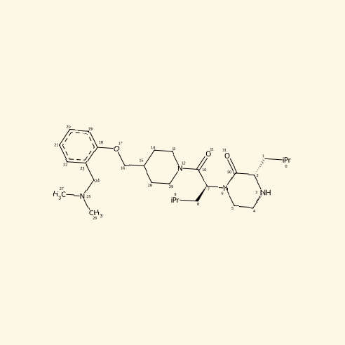 CC(C)C[C@@H]1NCCN([C@@H](CC(C)C)C(=O)N2CCC(COc3ccccc3CN(C)C)CC2)C1=O